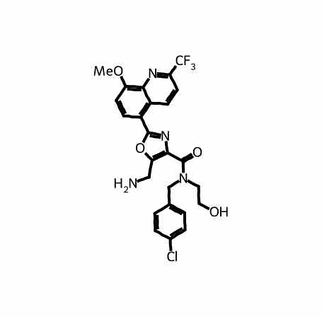 COc1ccc(-c2nc(C(=O)N(CCO)Cc3ccc(Cl)cc3)c(CN)o2)c2ccc(C(F)(F)F)nc12